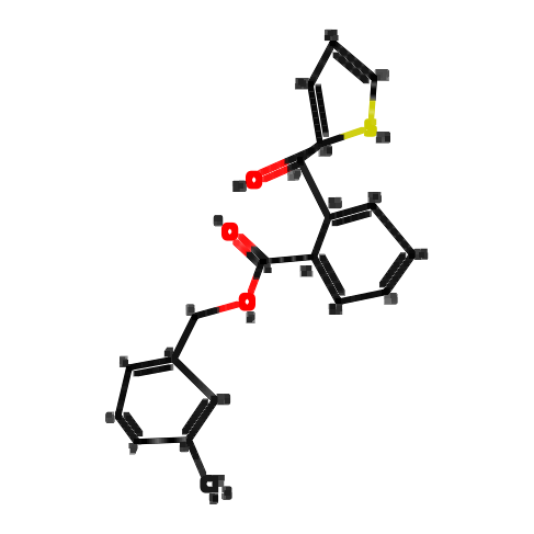 O=C(OCc1cccc(C(F)(F)F)c1)c1ccccc1C(=O)c1cccs1